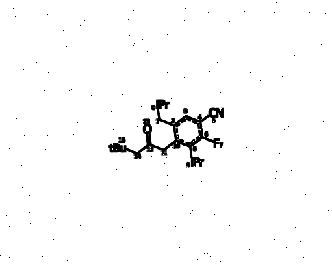 CC(C)Cc1cc(C#N)c(F)c(C(C)C)c1CC(=O)CC(C)(C)C